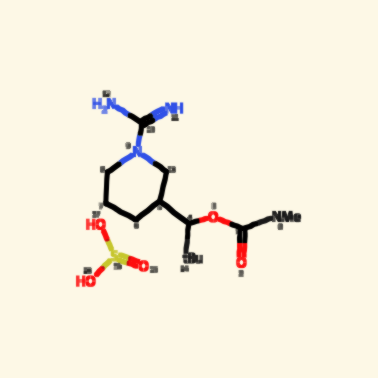 CNC(=O)OC(C1CCCN(C(=N)N)C1)C(C)(C)C.O=S(O)O